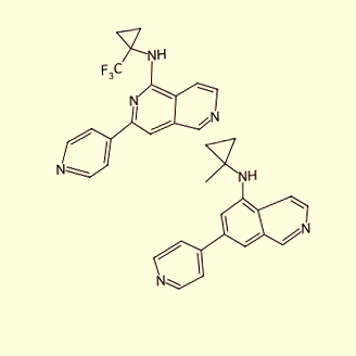 CC1(Nc2cc(-c3ccncc3)cc3cnccc23)CC1.FC(F)(F)C1(Nc2nc(-c3ccncc3)cc3cnccc23)CC1